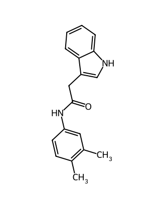 Cc1ccc(NC(=O)Cc2c[nH]c3ccccc23)cc1C